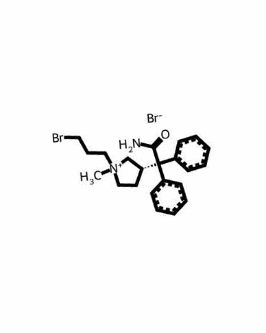 C[N+]1(CCCBr)CC[C@@H](C(C(N)=O)(c2ccccc2)c2ccccc2)C1.[Br-]